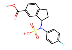 COC(=O)c1ccc2c(c1)C(N(c1ccc(F)cc1)S(=O)(=O)O)CC2